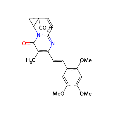 COc1cc(OC)c(OC)cc1/C=C/c1nc2n(c(=O)c1C)C1CC1(C(=O)O)C=C2